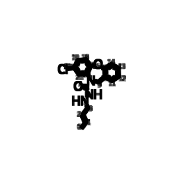 C/C=C/CNNC(=O)N1Cc2ccccc2Oc2ccc(Cl)cc21